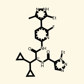 CCc1[nH]nc(C)c1-c1ccc(NC(=O)[C@@H](NC(=O)c2cnnn2CC)C(C2CC2)C2CC2)nc1F